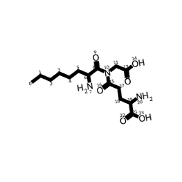 CCCCCCC(N)C(=O)N(CC(=O)O)C(=O)CCC(N)C(=O)O